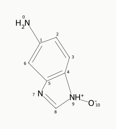 Nc1ccc2c(c1)N=C[NH+]2[O-]